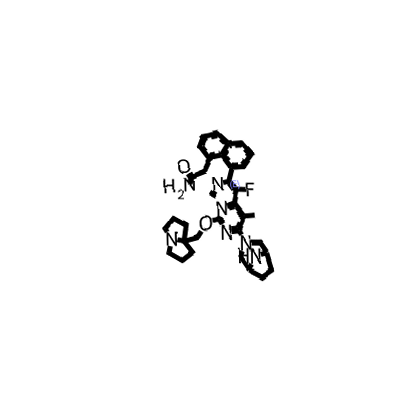 C=N/C(=C(/F)c1nc(OCC23CCCN2CCC3)nc(N2CC3CCC(C2)N3)c1C)c1cccc2cccc(CC(N)=O)c12